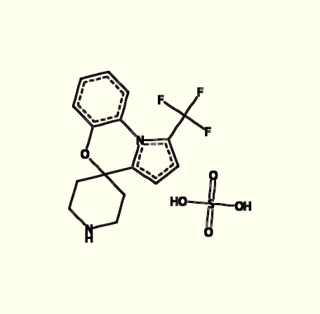 FC(F)(F)c1ccc2n1-c1ccccc1OC21CCNCC1.O=S(=O)(O)O